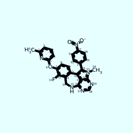 Cc1cccc(Oc2ccc3c(c2F)CNc2ncnc4c2c-3c(-c2ccc([N+](=O)[O-])cc2)n4C)n1